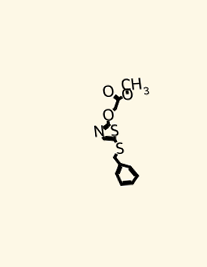 COC(=O)COc1ncc(SCc2ccccc2)s1